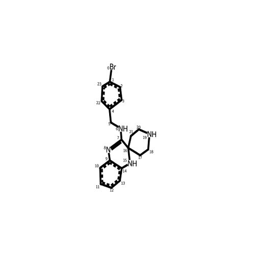 Brc1ccc(CNC2=Nc3ccccc3NC23CCNCC3)cc1